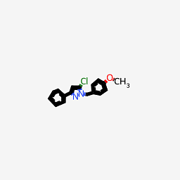 COc1ccc(Cn2nc(-c3ccccc3)cc2Cl)cc1